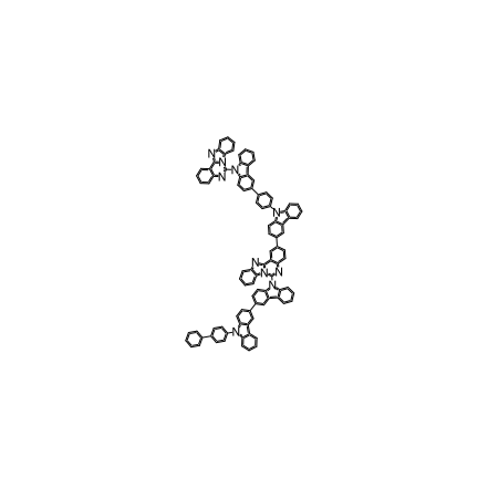 c1ccc(-c2ccc(-n3c4ccccc4c4cc(-c5ccc6c(c5)c5ccccc5n6-c5nc6ccc(-c7ccc8c(c7)c7ccccc7n8-c7ccc(-c8ccc9c(c8)c8ccccc8n9-c8nc9ccccc9c9nc%10ccccc%10n89)cc7)cc6c6nc7ccccc7n56)ccc43)cc2)cc1